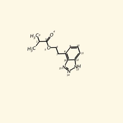 CC(C)C(=O)OCCc1cccc2[nH]nnc12